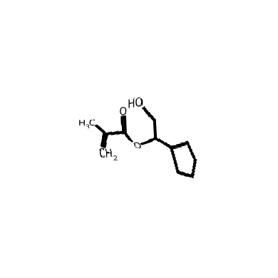 C=C(C)C(=O)OC(CO)C1CCCC1